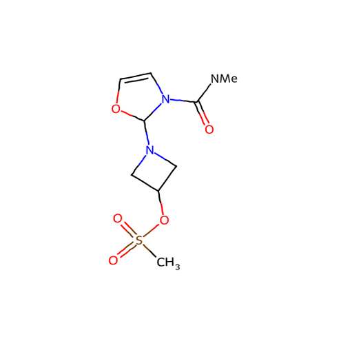 CNC(=O)N1C=COC1N1CC(OS(C)(=O)=O)C1